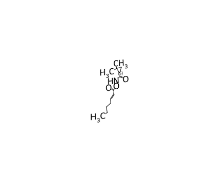 CCCCC=CC(=O)ONC(=O)[C@H]1CC1(C)C